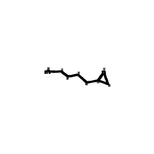 CCCCC[CH]CC1CO1